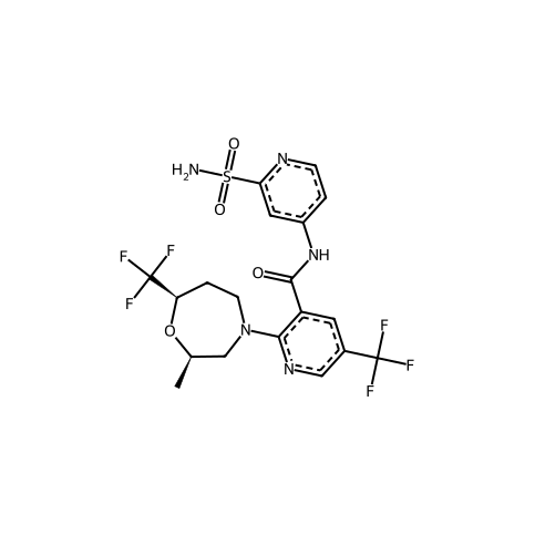 C[C@@H]1CN(c2ncc(C(F)(F)F)cc2C(=O)Nc2ccnc(S(N)(=O)=O)c2)CC[C@H](C(F)(F)F)O1